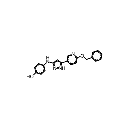 Oc1ccc(Nc2cc(-c3ccc(OCc4ccccc4)nc3)[nH]n2)cc1